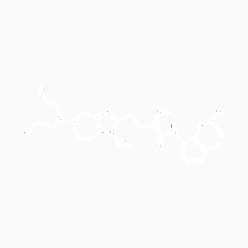 CCC(=O)Oc1c(F)cccc1NC(=O)[C@@H](N)CCc1nc2cc(N(CCCl)CCCl)ccc2n1C